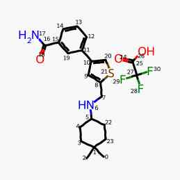 CC1(C)CCC(NCc2cc(-c3cccc(C(N)=O)c3)cs2)CC1.O=C(O)C(F)(F)F